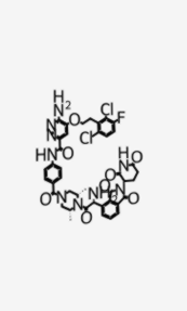 C[C@@H]1CN(C(=O)c2ccc(NC(=O)c3cc(OCCc4c(Cl)ccc(F)c4Cl)c(N)nn3)cc2)C[C@H](C)N1C(=O)[C@H](N)c1cccc2c1C(=O)N([C@@H]1CCC(=O)NC1=O)C2=O